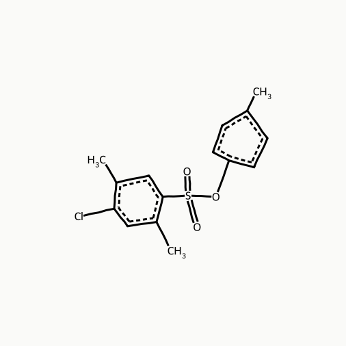 Cc1ccc(OS(=O)(=O)c2cc(C)c(Cl)cc2C)cc1